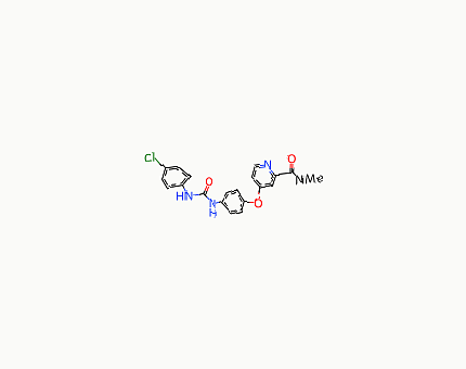 CNC(=O)c1cc(Oc2ccc(NC(=O)Nc3ccc(Cl)cc3)cc2)ccn1